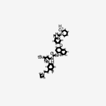 C[C@H]1CCCCN1c1nnc2ccc(O[C@@H]3CC[C@H](NC(=O)Nc4cc(C(C)(C)C)nn4-c4ccc(F)c(CCN5CCC5)c4)c4ccccc43)cn12